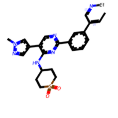 C/C=C(\C=N/CC)c1cccc(-c2ncc(-c3cnn(C)c3)c(NC3CCS(=O)(=O)CC3)n2)c1